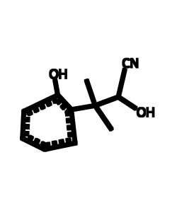 CC(C)(c1ccccc1O)C(O)C#N